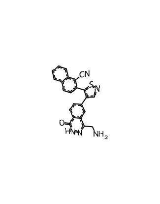 N#Cc1c(-c2sncc2-c2ccc3c(=O)[nH]nc(CN)c3c2)ccc2ccccc12